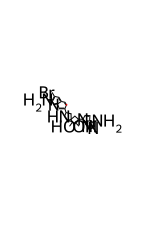 Nc1nc2cc(C3CC4(CN3)CC(n3ccc5c(N)ncnc53)C(O)C4O)ccc2cc1Br